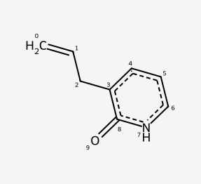 C=CCc1[c]cc[nH]c1=O